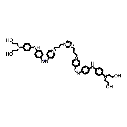 OCCN(CCO)c1ccc(Nc2ccc(/N=N\c3cc[n+](CCCn4cc[n+](CCC[n+]5ccc(/N=N\c6ccc(Nc7ccc(N(CCO)CCO)cc7)cc6)cc5)c4)cc3)cc2)cc1